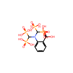 O=C(O)c1ccccc1N(C(P(=O)(O)O)P(=O)(O)O)C(P(=O)(O)O)P(=O)(O)O